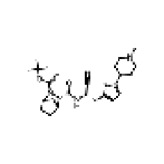 CN1CCC(c2ccc(C[C@@H](C#N)NC(=O)[C@@H]3C4CCC(C4)N3C(=O)OC(C)(C)C)s2)CC1